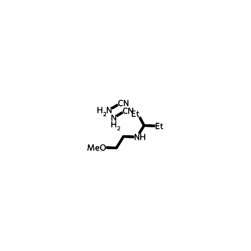 CCC(CC)NCCOC.N#CN.N#CN